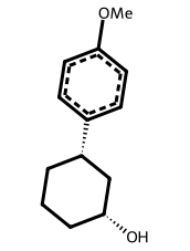 COc1ccc([C@H]2CCC[C@@H](O)C2)cc1